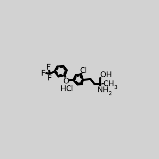 C[C@](N)(CO)CCc1ccc(Oc2cccc(C(F)(F)F)c2)cc1Cl.Cl